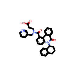 O=C(O)CCN(Cc1cccnc1)C(=O)c1ccccc1-c1ccccc1C(=O)NC1CCCc2ccccc21